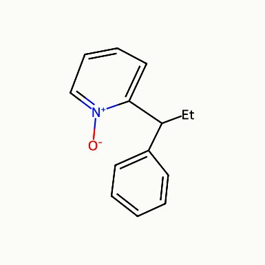 CCC(c1ccccc1)c1cccc[n+]1[O-]